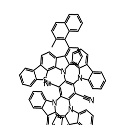 Cc1ccc2ccccc2c1-c1cccc2c1c1ccc3c4ccccc4sc3c1n2-c1c(C#N)c(-n2c3ccccc3c3ccccc32)c(-n2c3ccccc3c3ccccc32)c(C#N)c1-n1c2ccccc2c2ccccc21